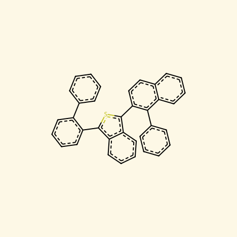 c1ccc(-c2ccccc2-c2sc(-c3ccc4ccccc4c3-c3ccccc3)c3ccccc23)cc1